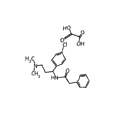 CN(C)CCC(NC(=O)Cc1ccccc1)c1ccc(Cl)cc1.O=C(O)C(=O)O